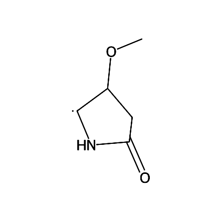 COC1[CH]NC(=O)C1